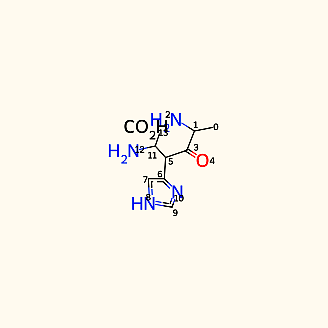 CC(N)C(=O)C(c1c[nH]cn1)C(N)C(=O)O